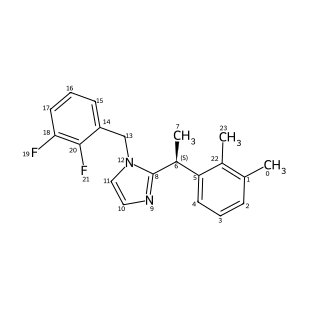 Cc1cccc([C@H](C)c2nccn2Cc2cccc(F)c2F)c1C